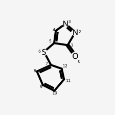 O=C1N=NC=C1Sc1ccccc1